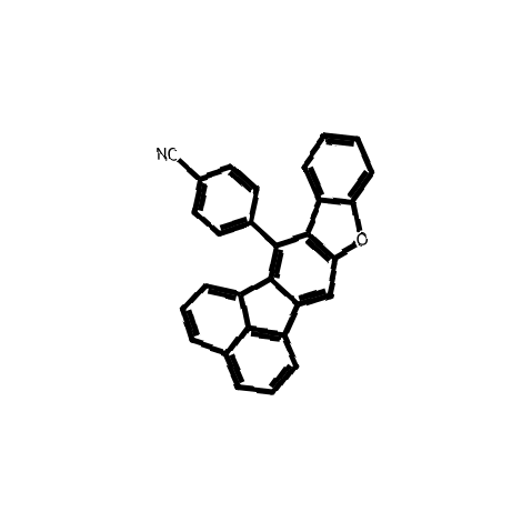 N#Cc1ccc(-c2c3c(cc4oc5ccccc5c24)-c2cccc4cccc-3c24)cc1